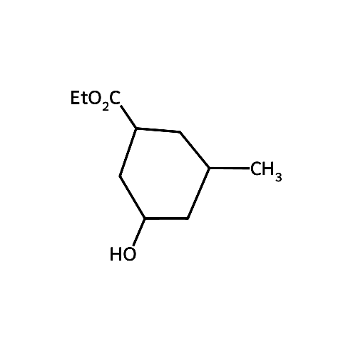 CCOC(=O)C1CC(C)CC(O)C1